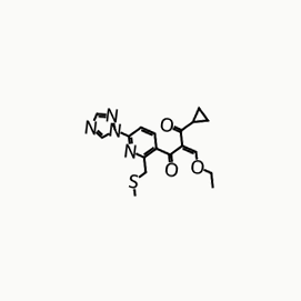 CCO/C=C(\C(=O)c1ccc(-n2cncn2)nc1CSC)C(=O)C1CC1